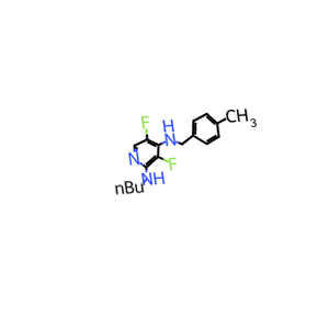 CCCCNc1ncc(F)c(NCc2ccc(C)cc2)c1F